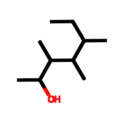 CCC(C)C(C)C(C)C(C)O